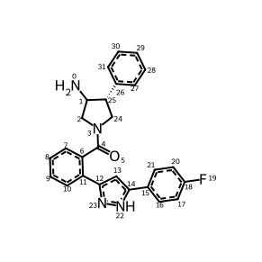 NC1CN(C(=O)c2ccccc2-c2cc(-c3ccc(F)cc3)[nH]n2)C[C@H]1c1ccccc1